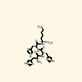 NCCCC[C@H](NC(=O)[C@H](Cc1c[nH]cn1)NC(=O)[C@H](Cc1c[nH]cn1)NC(=O)[C@@H](N)Cc1c[nH]cn1)C(=O)O